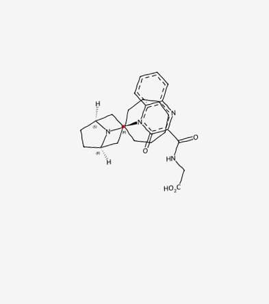 O=C(O)CNC(=O)c1nc2ccccc2n([C@H]2C[C@H]3CC[C@@H](C2)N3C2CCCCCCC2)c1=O